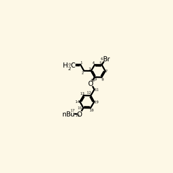 C=CCc1cc(Br)ccc1OCc1ccc(OCCCC)cc1